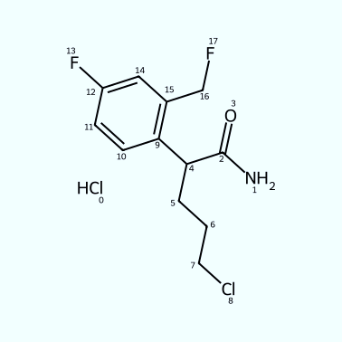 Cl.NC(=O)C(CCCCl)c1ccc(F)cc1CF